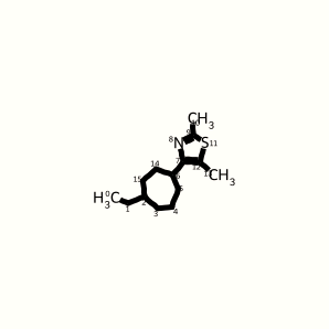 CCC1CCCC(c2nc(C)sc2C)CC1